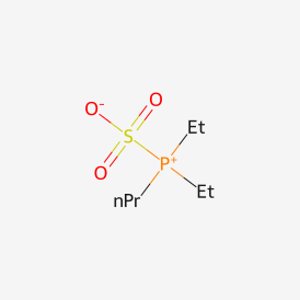 CCC[P+](CC)(CC)S(=O)(=O)[O-]